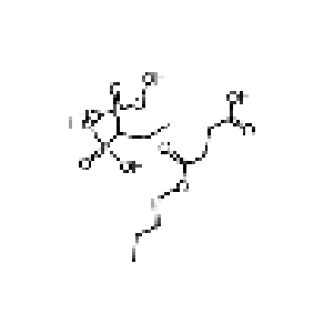 CCC(P(=O)(O)O)P(=O)(O)OO.CCC=COC(=O)CCC(=O)O